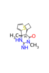 CN1C(=N)N[C@](C)(c2cccs2)[C@@H](C2CCC2)C1=O